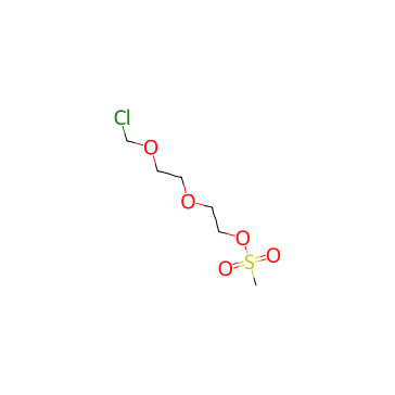 CS(=O)(=O)OCCOCCOCCl